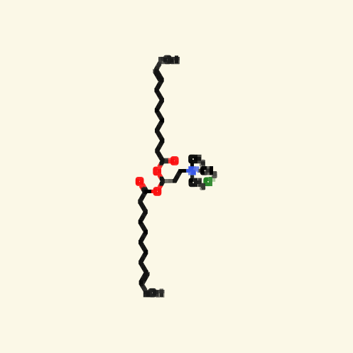 CCCCCCCCC=CCCCCCCCC(=O)OC(CC[N+](C)(C)C)OC(=O)CCCCCCCC=CCCCCCCCC.[Cl-]